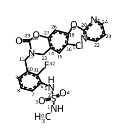 CNS(=O)(=O)Nc1cccc(CN2Cc3cc(Cl)c(Oc4ncccn4)cc3OC2=O)c1F